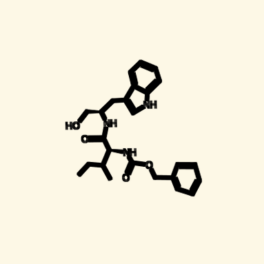 CCC(C)[C@H](NC(=O)OCc1ccccc1)C(=O)N[C@@H](CO)Cc1c[nH]c2ccccc12